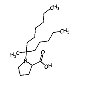 CCCCCCC(C)(CCCCC)N1CCCC1C(=O)O